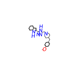 COc1ccc(CC2CCN(Cc3nnc(-c4cc5ccccc5[nH]4)[nH]3)CC2)cc1